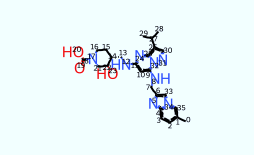 Cc1ccc2nc(CNc3cc(NC[C@H]4CCN(C(=O)O)C[C@@H]4O)nc4c(C(C)C)cnn34)cn2c1